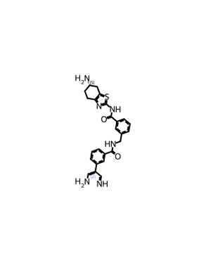 N=C/C(=C\N)c1cccc(C(=O)NCc2cccc(C(=O)Nc3nc4c(s3)C[C@@H](N)CC4)c2)c1